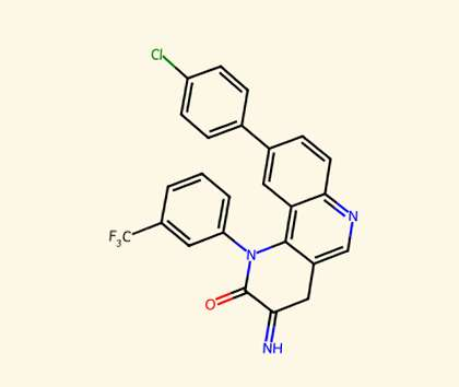 N=C1Cc2cnc3ccc(-c4ccc(Cl)cc4)cc3c2N(c2cccc(C(F)(F)F)c2)C1=O